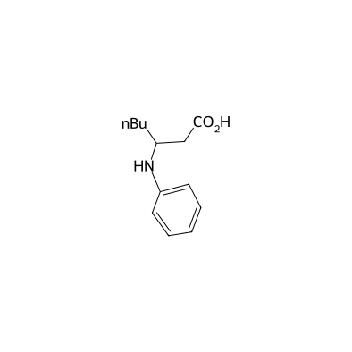 CCCCC(CC(=O)O)Nc1ccccc1